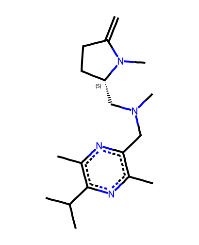 C=C1CC[C@@H](CN(C)Cc2nc(C)c(C(C)C)nc2C)N1C